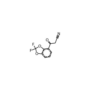 N#CCC(=O)c1cccc2c1OC(F)(F)O2